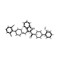 Cc1cccc(C)c1C1CCN(Cc2c(C(=O)N3CCN(c4ccccc4F)CC3)[nH]c3ccccc23)CC1